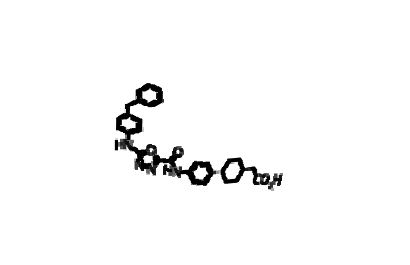 O=C(O)C[C@H]1CC[C@H](c2ccc(NC(=O)c3nnc(Nc4ccc(Cc5ccccc5)cc4)o3)cc2)CC1